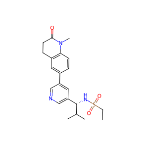 CCS(=O)(=O)N[C@@H](c1cncc(-c2ccc3c(c2)CCC(=O)N3C)c1)C(C)C